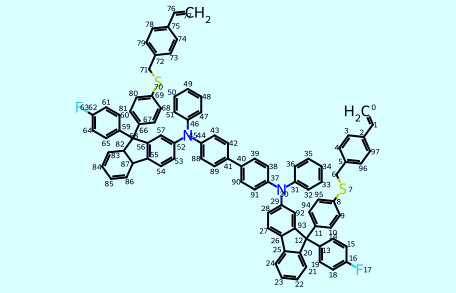 C=Cc1ccc(CSc2ccc(C3(c4ccc(F)cc4)c4ccccc4-c4ccc(N(c5ccccc5)c5ccc(-c6ccc(N(c7ccccc7)c7ccc8c(c7)C(c7ccc(F)cc7)(c7ccc(SCc9ccc(C=C)cc9)cc7)C7C=CC=CC87)cc6)cc5)cc43)cc2)cc1